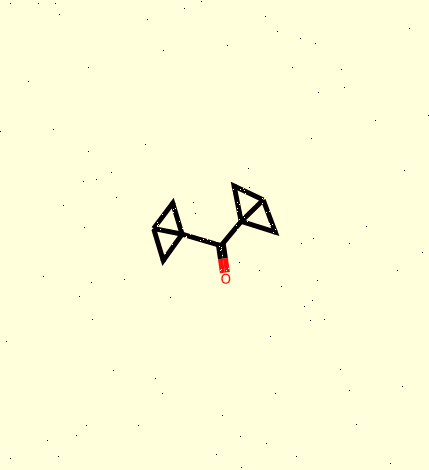 O=C(C12CC1C2)C12CC1C2